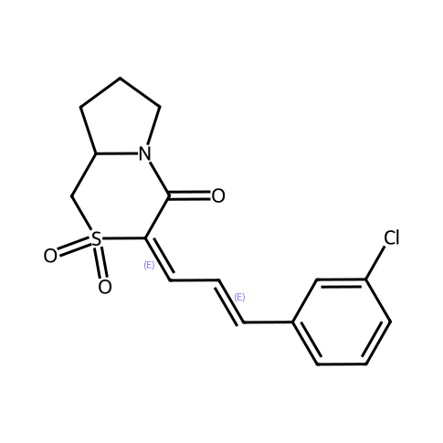 O=C1/C(=C\C=C\c2cccc(Cl)c2)S(=O)(=O)CC2CCCN12